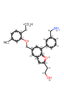 N#Cc1ccc(CC(=O)O)c(OCc2cc(-c3cccc(CN)c3)c3oc(CCO)cc3c2)c1